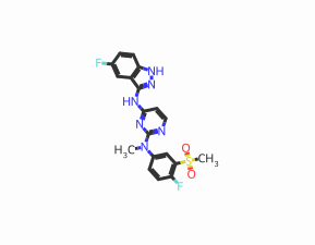 CN(c1ccc(F)c(S(C)(=O)=O)c1)c1nccc(Nc2n[nH]c3ccc(F)cc23)n1